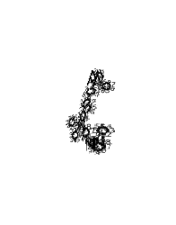 C1=CN2C(=NC(c3ccc(-c4ccc5c(ccc6cc7c(cc65)c(-c5ccccc5)c(-c5ccccc5)n7-c5ccc(-c6nc7ccccn7c6-c6ccccc6)cc5)c4)cc3)C2c2ccccc2)N=C1